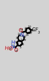 O=C(NO)c1ccc2c(c1)CCN(C(=O)c1ccc(C(F)(F)F)cc1)CC2